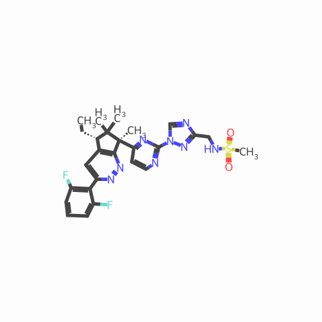 CC[C@H]1c2cc(-c3c(F)cccc3F)nnc2[C@](C)(c2ccnc(-n3cnc(CNS(C)(=O)=O)n3)n2)C1(C)C